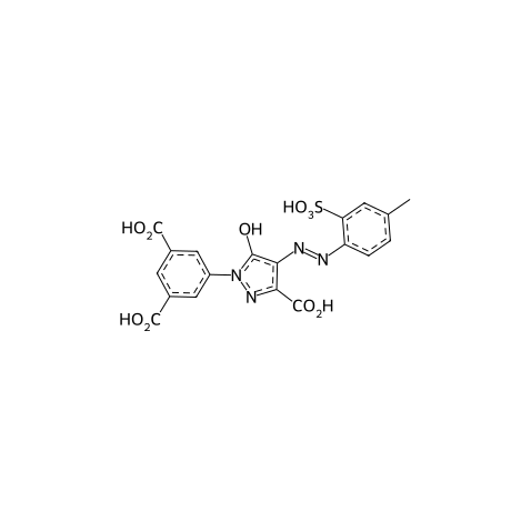 Cc1ccc(N=Nc2c(C(=O)O)nn(-c3cc(C(=O)O)cc(C(=O)O)c3)c2O)c(S(=O)(=O)O)c1